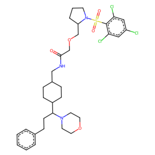 O=C(COCC1CCCN1S(=O)(=O)c1c(Cl)cc(Cl)cc1Cl)NCC1CCC(C(CCc2ccccc2)N2CCOCC2)CC1